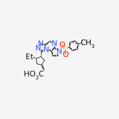 CC[C@@H]1CC(=CC(=O)O)C[C@@H]1c1nnc2cnc3c(ccn3S(=O)(=O)c3ccc(C)cc3)n12